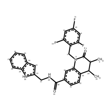 CC1C(=O)N(Cc2c(F)cc(F)cc2F)c2cc(C(=O)NCc3cc4ccccc4[nH]3)ccc2C1C